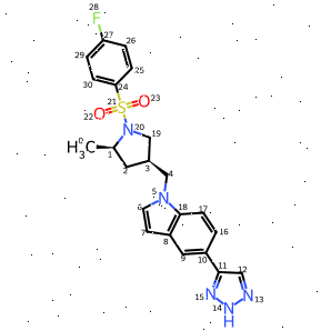 C[C@@H]1C[C@H](Cn2ccc3cc(-c4cn[nH]n4)ccc32)CN1S(=O)(=O)c1ccc(F)cc1